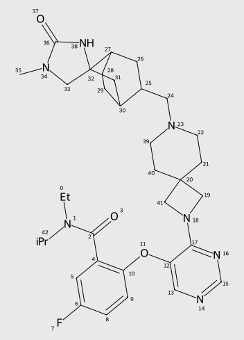 CCN(C(=O)c1cc(F)ccc1Oc1cncnc1N1CC2(CCN(CC3CC4CCC3CC43CN(C)C(=O)N3)CC2)C1)C(C)C